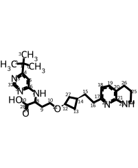 CC(C)(C)c1cc(NC(CCO[C@H]2C[C@H](CCc3ccc4c(n3)NCCC4)C2)C(=O)O)ncn1